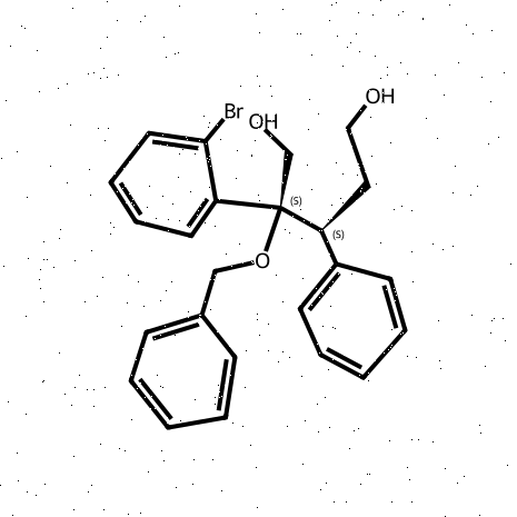 OCC[C@@H](c1ccccc1)[C@](CO)(OCc1ccccc1)c1ccccc1Br